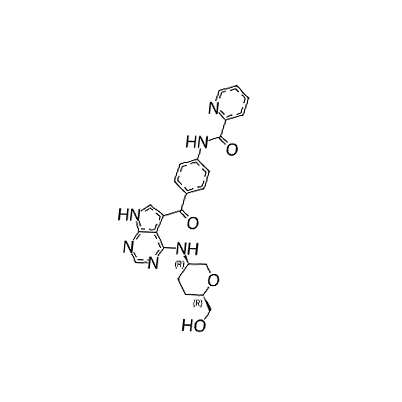 O=C(Nc1ccc(C(=O)c2c[nH]c3ncnc(N[C@@H]4CC[C@H](CO)OC4)c23)cc1)c1ccccn1